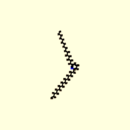 CCCCCCCCCCCCCCCCc1c[c]cc(CCCCCCCCCCCCCCCC)n1